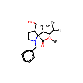 CCC(CC)C[C@H](NC(C)=O)[C@@]1(C(=O)OC(C)(C)C)[C@H](CO)CCN1Cc1ccccc1